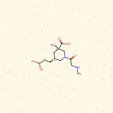 CNCC(=O)N1C[C@@H](CCB(O)O)C[C@](C)(C(=O)O)C1